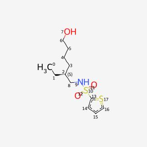 CC[C@@H](CCCCO)CNS(=O)(=O)c1cccs1